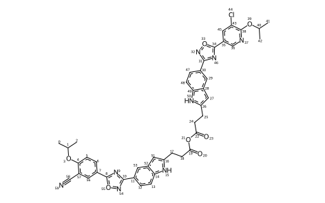 CC(C)Oc1ccc(-c2nc(-c3ccc4[nH]c(CCC(=O)OC(=O)CCc5cc6cc(-c7noc(-c8cnc(OC(C)C)c(Cl)c8)n7)ccc6[nH]5)cc4c3)no2)cc1C#N